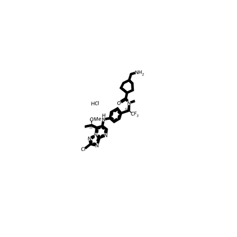 CO[C@@H](C)c1c(Nc2ccc([C@H](N(C)C(=O)C3CCC(CN)CC3)C(F)(F)F)cc2)cnc2nc(Cl)nn12.Cl